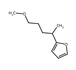 [CH2]OCCCC(C)c1ccco1